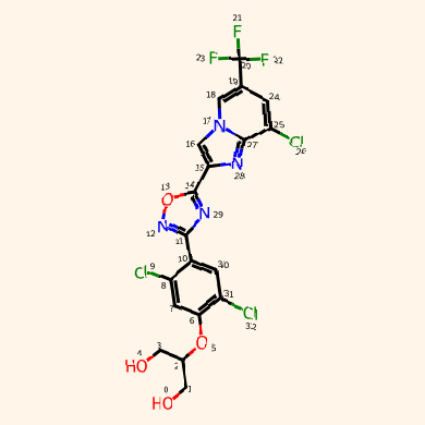 OCC(CO)Oc1cc(Cl)c(-c2noc(-c3cn4cc(C(F)(F)F)cc(Cl)c4n3)n2)cc1Cl